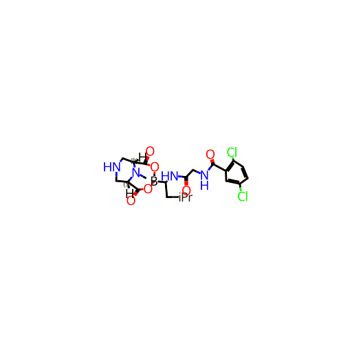 CC(C)CC(NC(=O)CNC(=O)c1cc(Cl)ccc1Cl)B1OC(=O)[C@H]2CNC[C@@H](C(=O)O1)N2C